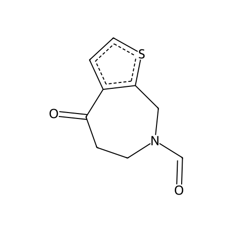 O=CN1CCC(=O)c2ccsc2C1